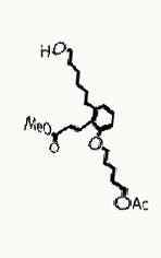 COC(=O)CCc1c(CCCCCCO)cccc1OCCCCCOC(C)=O